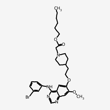 CCCCCCOC(=O)CN1CCC(CCOc2cc3c(Nc4cccc(Br)c4)ncnc3cc2OC)CC1